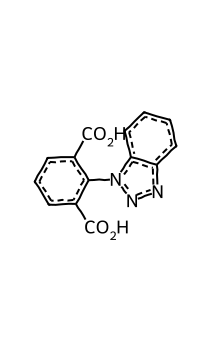 O=C(O)c1cccc(C(=O)O)c1-n1nnc2ccccc21